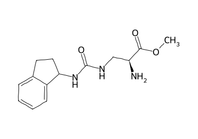 COC(=O)[C@@H](N)CNC(=O)NC1CCc2ccccc21